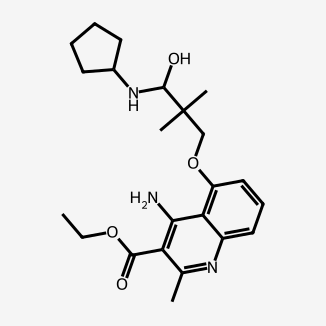 CCOC(=O)c1c(C)nc2cccc(OCC(C)(C)C(O)NC3CCCC3)c2c1N